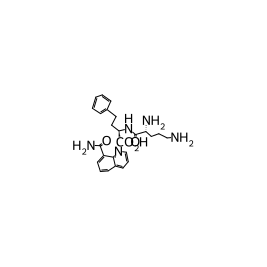 NC(=O)c1cccc2cccnc12.NCCC[C@@H](N)C(=O)N[C@H](CCc1ccccc1)C(=O)O